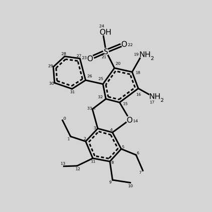 CCc1c2c(c(CC)c(CC)c1CC)Oc1c(N)c(N)c(S(=O)(=O)O)c(-c3ccccc3)c1[CH]2